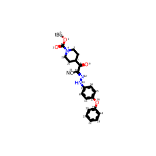 CC(C)(C)OC(=O)N1CCC(C(=O)/C(C#N)=N/Nc2ccc(Oc3ccccc3)cc2)CC1